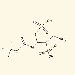 CC(C)(C)OC(=O)NC(CS(=O)(=O)O)C(CN)S(=O)(=O)O